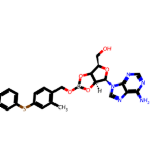 Cc1cc(Sc2ccccc2)ccc1COB1OC2[C@@H](CO)O[C@@H](n3cnc4c(N)ncnc43)[C@H]2O1